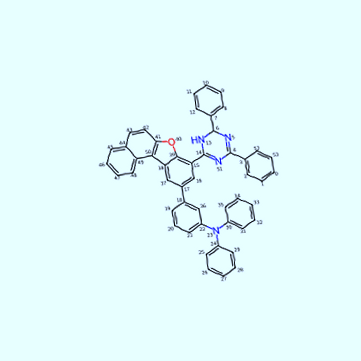 c1ccc(C2=NC(c3ccccc3)NC(c3cc(-c4cccc(N(c5ccccc5)c5ccccc5)c4)cc4c3oc3ccc5ccccc5c34)=N2)cc1